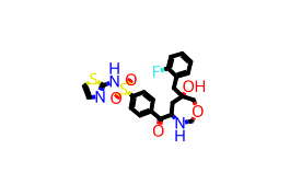 O=C(c1ccc(S(=O)(=O)Nc2nccs2)cc1)C1CC(O)(Cc2ccccc2F)COCN1